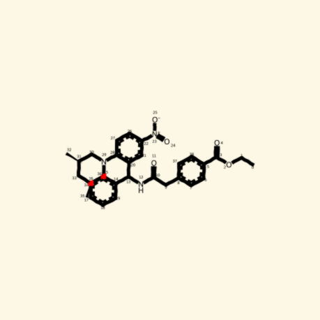 CCOC(=O)c1ccc(CC(=O)NC(c2ccccc2)c2cc([N+](=O)[O-])ccc2N2C[C@H](C)C[C@H](C)C2)cc1